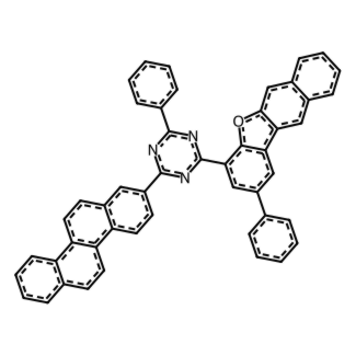 c1ccc(-c2cc(-c3nc(-c4ccccc4)nc(-c4ccc5c(ccc6c7ccccc7ccc56)c4)n3)c3oc4cc5ccccc5cc4c3c2)cc1